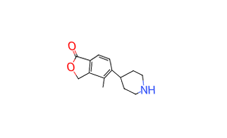 Cc1c(C2CCNCC2)ccc2c1COC2=O